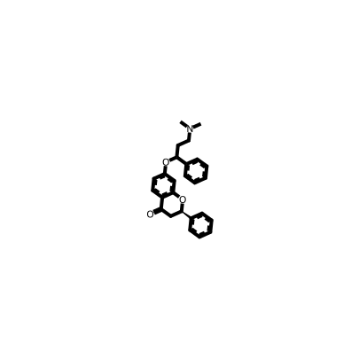 CN(C)CCC(Oc1ccc2c(c1)O[C@@H](c1ccccc1)CC2=O)c1ccccc1